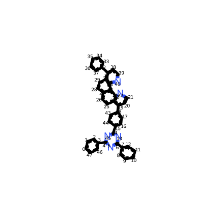 c1ccc(-c2nc(-c3ccccc3)nc(-c3ccc(-c4ccnc5c4ccc4ccc6c(-c7ccccc7)ccnc6c45)cc3)n2)cc1